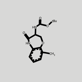 Cc1cccc2c1OCC(NC(=O)OC(C)(C)C)C(=O)N2